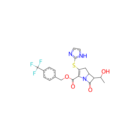 CC(O)C1C(=O)N2C(C(=O)OCc3ccc(C(F)(F)F)cc3)=C(Sc3ncc[nH]3)CC12